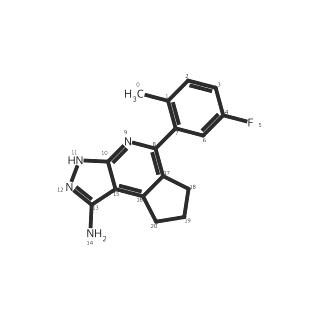 Cc1ccc(F)cc1-c1nc2[nH]nc(N)c2c2c1CCC2